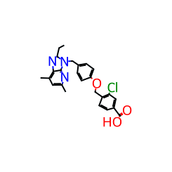 CCc1nc2c(C)cc(C)nc2n1Cc1ccc(OCc2ccc(C(=O)O)cc2Cl)cc1